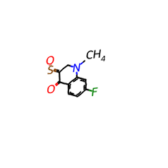 C.CN1CC(=S=O)C(=O)c2ccc(F)cc21